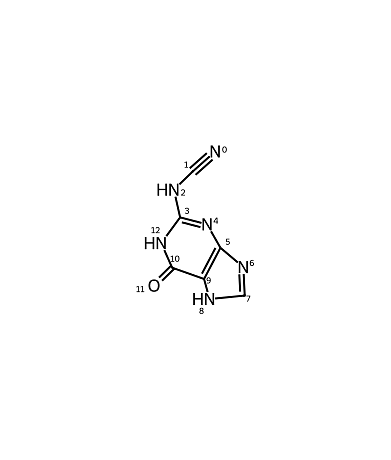 N#CNc1nc2nc[nH]c2c(=O)[nH]1